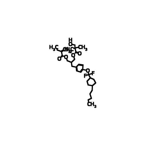 C=C(CC)C(=O)OCC(COC(=O)C(C)(C)CO)Cc1ccc(OC(F)(F)C2CCC(CCCCC)CC2)cc1